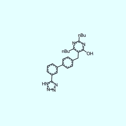 CCCCc1nc(O)c(Cc2ccc(-c3cccc(-c4nnn[nH]4)c3)cc2)c(CCCC)n1